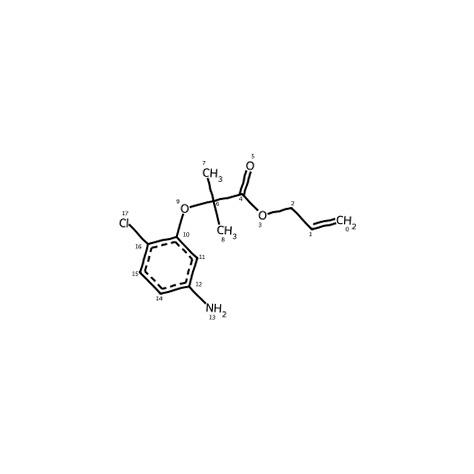 C=CCOC(=O)C(C)(C)Oc1cc(N)ccc1Cl